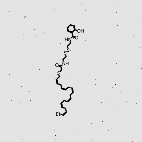 CC/C=C\C/C=C\C/C=C\C/C=C\C/C=C\C/C=C\CSCC(=O)NCCSSCCNC(=O)c1ccccc1O